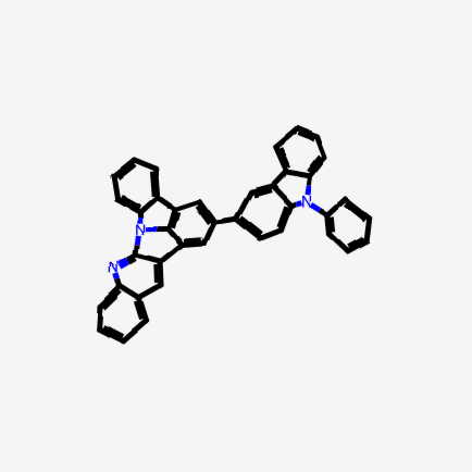 c1ccc(-n2c3ccccc3c3cc(-c4cc5c6ccccc6n6c7nc8ccccc8cc7c(c4)c56)ccc32)cc1